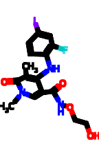 Cc1c(Nc2ccc(I)cc2F)c(C(=O)NOCCO)cn(C)c1=O